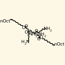 CCCCCCCC/C=C\CCCCCCCCOC(=O)CCN(CCCCN(CCC(=O)OCCCCCCCC/C=C\CCCCCCCC)C(=O)[C@H](N)CCCCN)C(=O)[C@H](N)CCCCN